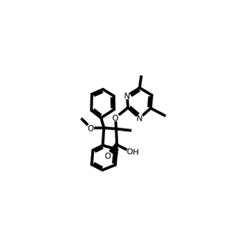 COC(c1ccccc1)(c1ccccc1)C(C)(Oc1nc(C)cc(C)n1)C(=O)O